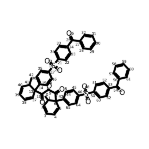 CC1C=CC=CC1(C(=O)C(=O)C(=O)C1(c2ccc(S(=O)(=O)c3ccc(C(=O)c4ccccc4)cc3)cc2)C=CC=CC1C)c1ccc(S(=O)(=O)c2ccc(C(=O)c3ccccc3)cc2)cc1